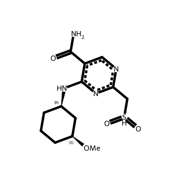 CO[C@H]1CCC[C@@H](Nc2nc(C[SH](=O)=O)ncc2C(N)=O)C1